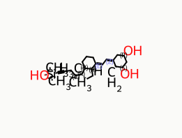 C=C1/C(=C\C=C2/CCC[C@]3(C)[C@@H]([C@H](C)CC#C[Si](C)(C)O)CC[C@@H]23)C[C@@H](O)C[C@@H]1O